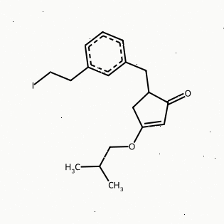 CC(C)COC1=CC(=O)C(Cc2cccc(CCI)c2)C1